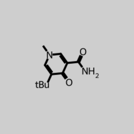 Cn1cc(C(N)=O)c(=O)c(C(C)(C)C)c1